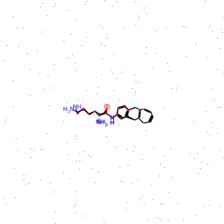 NCCCC[C@@H](N)C(=O)Nc1ccc2c(c1)C1C3=C(C=CC#CC3)C2c2ccc(NC(=O)[C@H](N)CCCCN)cc21